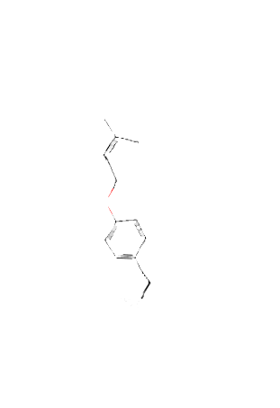 CC(C)=CCOc1ccc(CC(=O)O)cc1